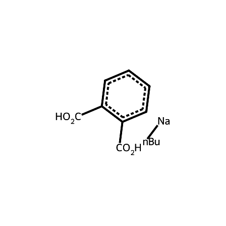 CCC[CH2][Na].O=C(O)c1ccccc1C(=O)O